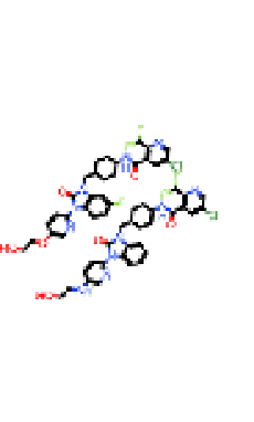 O=C(NC1CCC(Cn2c(=O)n(-c3ccc(NCCO)cn3)c3ccccc32)CC1)c1cc(Cl)cnc1C(F)F.O=C(NC1CCC(Cn2c(=O)n(-c3ccc(OCCO)cn3)c3ccc(F)cc32)CC1)c1cc(Cl)cnc1C(F)F